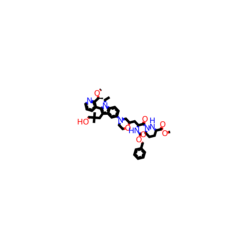 CCn1c(-c2cccnc2[C@H](C)OC)c(CC(C)(C)CO)c2cc(N3CCOC(CC(NC(=O)OCc4ccccc4)C(=O)N4CCCC(C(=O)OC)N4)C3)ccc21